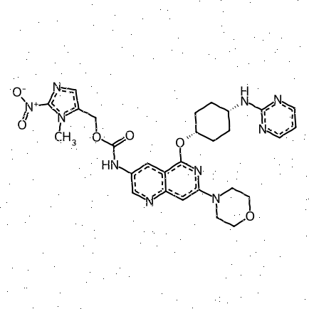 Cn1c(COC(=O)Nc2cnc3cc(N4CCOCC4)nc(O[C@H]4CC[C@@H](Nc5ncccn5)CC4)c3c2)cnc1[N+](=O)[O-]